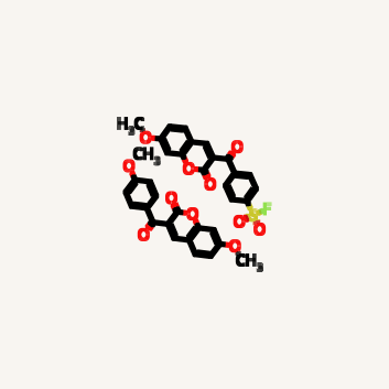 COc1ccc(C(=O)c2cc3ccc(OC)cc3oc2=O)cc1.COc1ccc2cc(C(=O)c3ccc(S(=O)(=O)F)cc3)c(=O)oc2c1